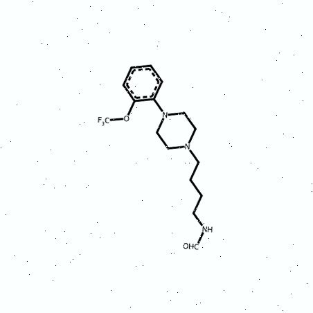 O=CNCCCCN1CCN(c2ccccc2OC(F)(F)F)CC1